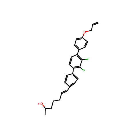 C=CCOc1ccc(-c2ccc(-c3ccc(/C=C/CCCC(C)O)cc3)c(F)c2F)cc1